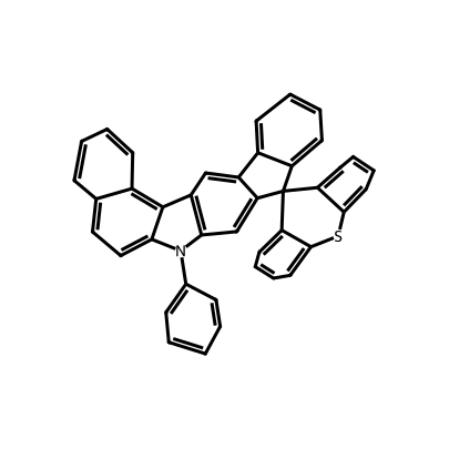 c1ccc(-n2c3cc4c(cc3c3c5ccccc5ccc32)-c2ccccc2C42c3ccccc3Sc3ccccc32)cc1